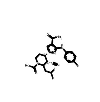 N#C[C@@H]1C(CC(F)F)N(C(=O)O)CC[C@@H]1n1cc(C(N)=O)c(Nc2ccc(F)cc2)n1